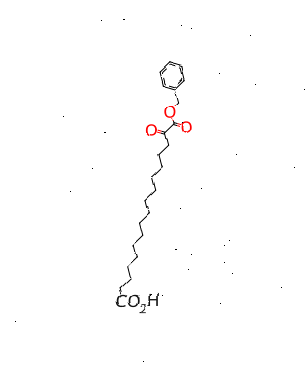 O=C(O)CCCCCCCCCCCCCCC(=O)C(=O)OCc1ccccc1